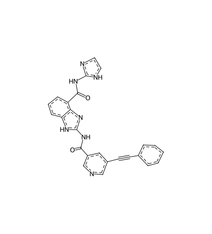 O=C(Nc1nc2c(C(=O)Nc3ncc[nH]3)cccc2[nH]1)c1cncc(C#Cc2ccccc2)c1